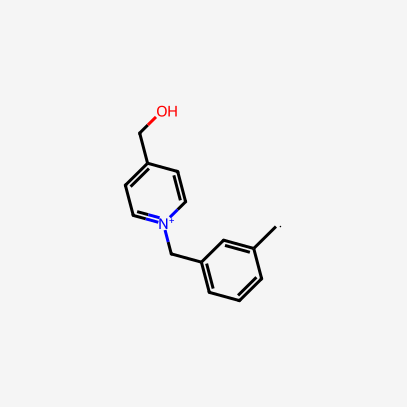 [CH2]c1cccc(C[n+]2ccc(CO)cc2)c1